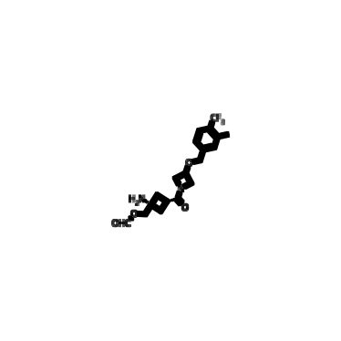 Cc1cc(COC2CN(C(=O)[C@H]3C[C@](N)(COC=O)C3)C2)ccc1C(F)(F)F